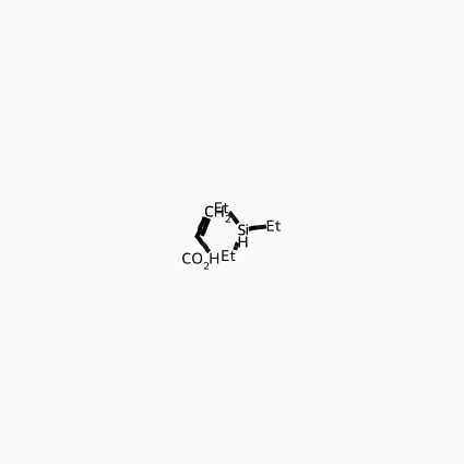 C=CC(=O)O.CC[SiH](CC)CC